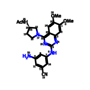 COc1cc2nc(Nc3cc(N)cc(C#N)c3)nc(N3CC[C@H](NC(C)=O)C3)c2cc1OC